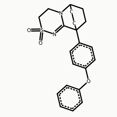 O=S1(=O)CCN2C(=N1)C1(c3ccc(Oc4ccccc4)cc3)CCC2CC1